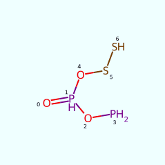 O=[PH](OP)OSS